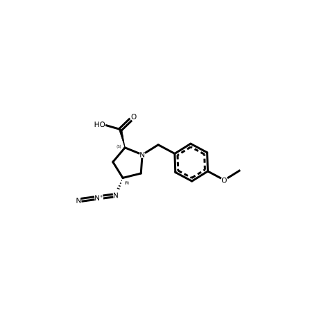 COc1ccc(CN2C[C@H](N=[N+]=[N-])C[C@H]2C(=O)O)cc1